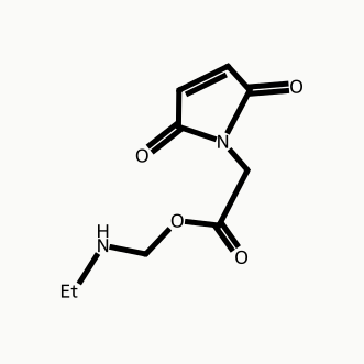 CCNCOC(=O)CN1C(=O)C=CC1=O